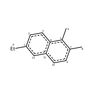 CCc1ccc2c(C)c(C)ccc2c1